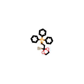 BrC1(CC[PH](c2ccccc2)(c2ccccc2)c2ccccc2)OCCO1